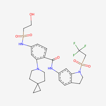 O=C(Nc1ccc2c(c1)N(S(=O)(=O)CC(F)(F)F)CC2)c1ccc(NS(=O)(=O)CCO)cc1N1CCC2(CC1)CC2